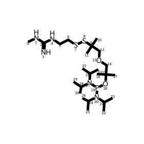 CNC(=N)NCCSSC(C)(C)COCC(C)(C)OP(N(C(C)C)C(C)C)N(C(C)C)C(C)C